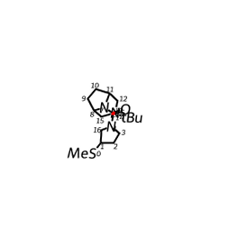 CSC1CCN(C(=O)N2C3CCC2CN(C(C)(C)C)C3)C1